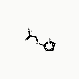 NC(=O)COc1ccc[nH]1